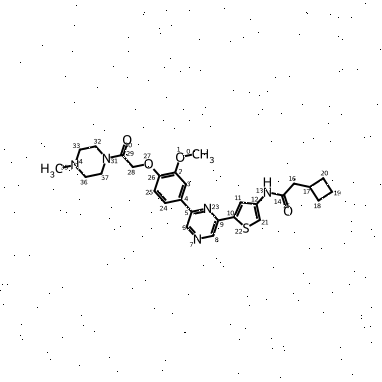 COc1cc(-c2cncc(-c3cc(NC(=O)CC4CCC4)cs3)n2)ccc1OCC(=O)N1CCN(C)CC1